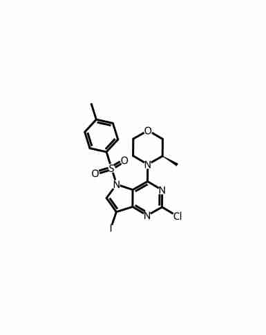 Cc1ccc(S(=O)(=O)n2cc(I)c3nc(Cl)nc(N4CCOC[C@H]4C)c32)cc1